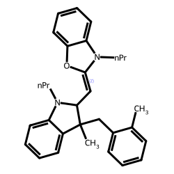 CCCN1/C(=C/C2N(CCC)c3ccccc3C2(C)Cc2ccccc2C)Oc2ccccc21